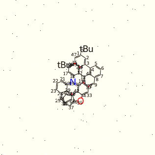 CC(C)(C)c1cc(-c2cccc3cccc(-c4ccccc4N(c4cccc5ccccc45)c4cccc5oc6ccccc6c45)c23)cc(C(C)(C)C)c1